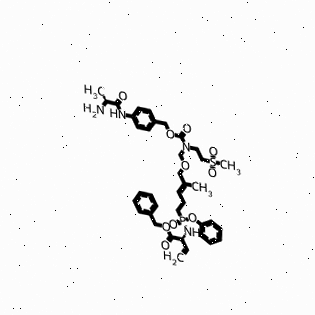 C=C[C@H](NP(=O)(CC/C=C(\C)COCN(CCS(C)(=O)=O)C(=O)OCc1ccc(NC(=O)[C@H](C)N)cc1)Oc1ccccc1)C(=O)OCc1ccccc1